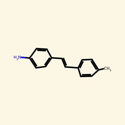 Cc1ccc(C=Cc2ccc(N)cc2)cc1